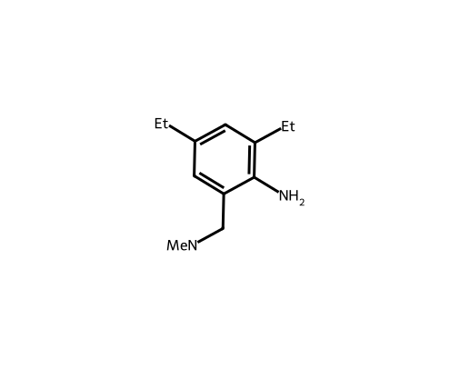 CCc1cc(CC)c(N)c(CNC)c1